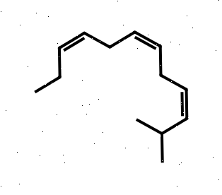 CC/C=C\C/C=C\C/C=C\C(C)C